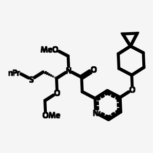 CCCSC[C@@H](OCOC)N(COC)C(=O)Cc1cc(OC2CCC3(CC2)CC3)ccn1